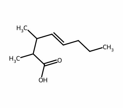 CCCC=CC(C)C(C)C(=O)O